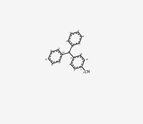 N#Cc1ccc([C](c2ccccc2)c2ccccc2)cc1